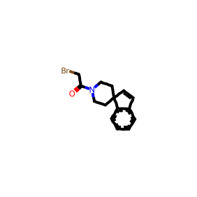 O=C(CBr)N1CCC2(C=Cc3ccccc32)CC1